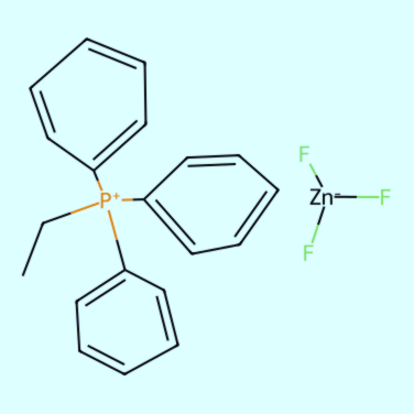 CC[P+](c1ccccc1)(c1ccccc1)c1ccccc1.[F][Zn-]([F])[F]